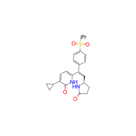 CC(C)S(=O)(=O)c1ccc(/C(=C/[C@H]2CCC(=O)N2)c2ccc(C3CC3)c(=O)[nH]2)cc1